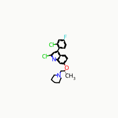 C[C@H](CN1CCCCC1)Oc1ccc2c(-c3ccc(F)cc3Cl)cc(Cl)nc2c1